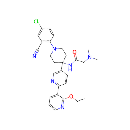 CCOc1ncccc1-c1ccc(C2(NC(=O)CN(C)C)CCN(c3ccc(Cl)cc3C#N)CC2)cn1